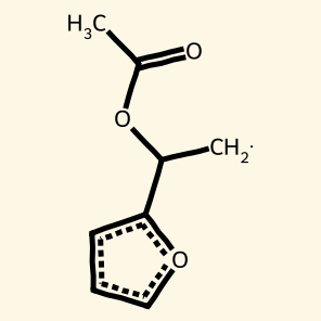 [CH2]C(OC(C)=O)c1ccco1